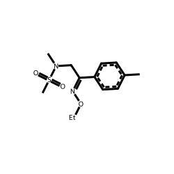 CCO/N=C(/CN(C)S(C)(=O)=O)c1ccc(C)cc1